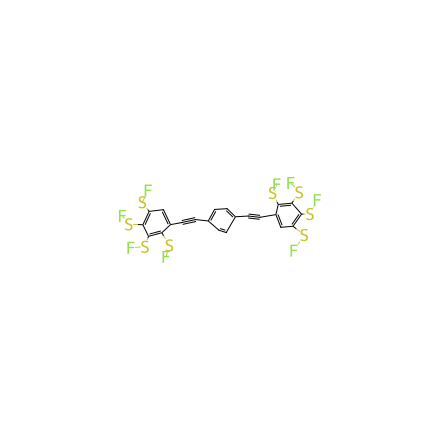 FSc1cc(C#Cc2ccc(C#Cc3cc(SF)c(SF)c(SF)c3SF)cc2)c(SF)c(SF)c1SF